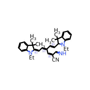 CCN1/C(=C/C=C(/C=C/C2N(CC)c3ccccc3C2(C)C)\C=C(\C#N)C=N)C(C)(C)c2ccccc21